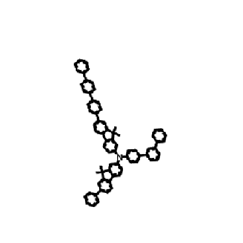 CC1(C)c2cc(-c3ccccc3)ccc2-c2ccc(N(c3ccc(-c4cccc(-c5ccccc5)c4)cc3)c3ccc4c(c3)C(C)(C)c3cc(-c5ccc(-c6ccc(-c7ccccc7)cc6)cc5)ccc3-4)cc21